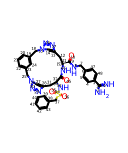 N=C(N)c1ccc(CNC(=O)[C@@H]2Cc3cn(nn3)Cc3cccc(c3)Cn3cc(nn3)C[C@@H](NS(=O)(=O)Cc3ccccc3)C(=O)N2)cc1